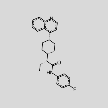 CC[C@@H](C(=O)Nc1ccc(F)cc1)[C@H]1CC[C@@H](c2ccnc3ccccc32)CC1